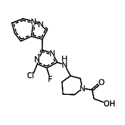 O=C(CO)N1CCCC(Nc2nc(-c3cnn4ccccc34)nc(Cl)c2F)C1